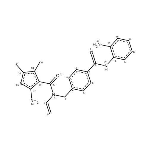 C=CN(Cc1ccc(C(=O)Nc2ccccc2N)cc1)C(=O)c1c(N)sc(C)c1C